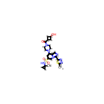 N#CC1(NS(=O)(=O)c2cc(N3CCN(C(=O)C4CC(O)C4)CC3)c3cnc(-c4nnc(C(F)(F)F)s4)n3c2)CC1